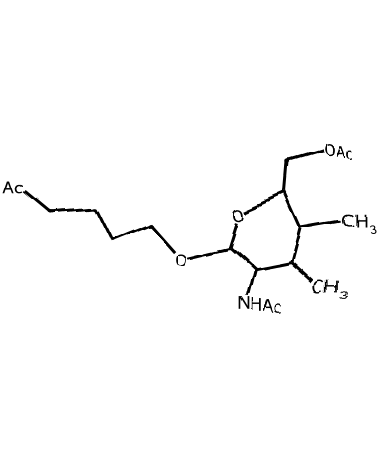 CC(=O)CCCCOC1OC(COC(C)=O)C(C)C(C)C1NC(C)=O